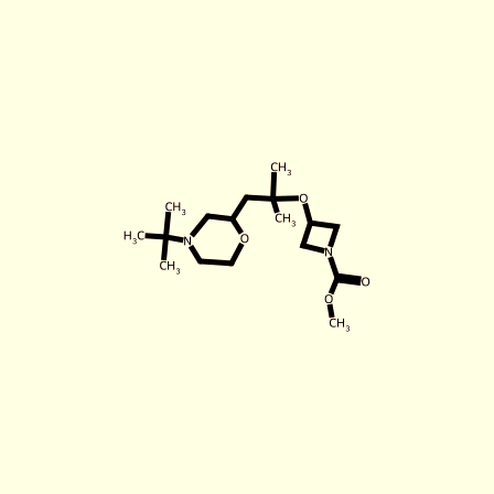 COC(=O)N1CC(OC(C)(C)CC2CN(C(C)(C)C)CCO2)C1